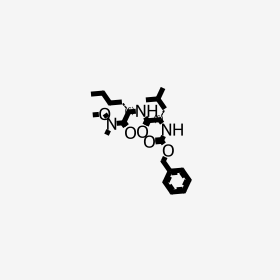 CCCC[C@H](NC(=O)[C@H](CC(C)C)NC(=O)OCc1ccccc1)C(=O)N(C)OC